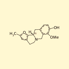 COc1c(O)ccc2c1CN1CCc3cc(C)oc3[C@@H]1C2